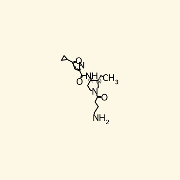 CC[C@H]1CN(C(=O)CCCN)CC[C@H]1NC(=O)c1cc(C2CC2)on1